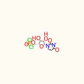 Cn1c(=O)ccn([C@@H]2O[C@H](COP(=O)(Cl)Cl)C(O)[C@@H]2O)c1=O